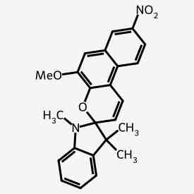 COc1cc2cc([N+](=O)[O-])ccc2c2c1OC1(C=C2)N(C)c2ccccc2C1(C)C